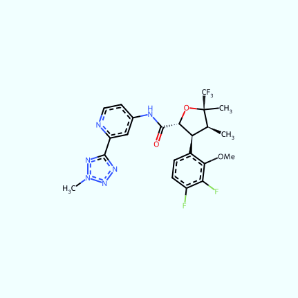 COc1c([C@H]2[C@H](C(=O)Nc3ccnc(-c4nnn(C)n4)c3)O[C@@](C)(C(F)(F)F)[C@H]2C)ccc(F)c1F